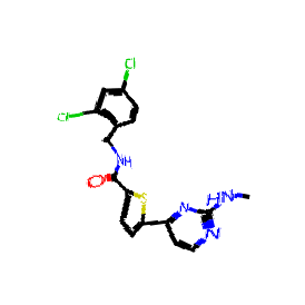 CNc1nccc(-c2ccc(C(=O)NCc3ccc(Cl)cc3Cl)s2)n1